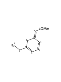 COC=C1C=CC=C(CBr)C1